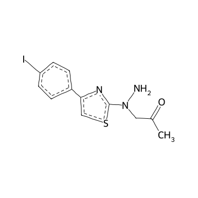 CC(=O)CN(N)c1nc(-c2ccc(I)cc2)cs1